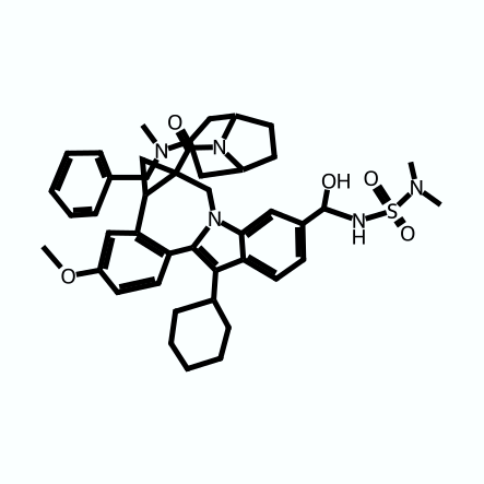 COc1ccc2c(c1)C1CC1(C(=O)N1C3CCC1CC(N(C)Cc1ccccc1)C3)Cn1c-2c(C2CCCCC2)c2ccc(C(O)NS(=O)(=O)N(C)C)cc21